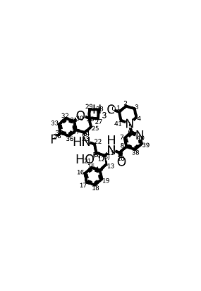 CC1CCCN(c2cc(C(=O)N[C@@H](Cc3ccccc3)[C@@H](O)CN[C@H]3CC4(CCC4)Oc4ccc(F)cc43)ccn2)C1